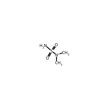 C[N+](C)S(N)(=O)=O